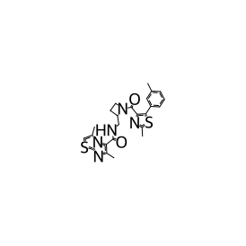 Cc1cccc(-c2sc(C)nc2C(=O)N2CCC2CNC(=O)c2c(C)nc3scc(C)n23)c1